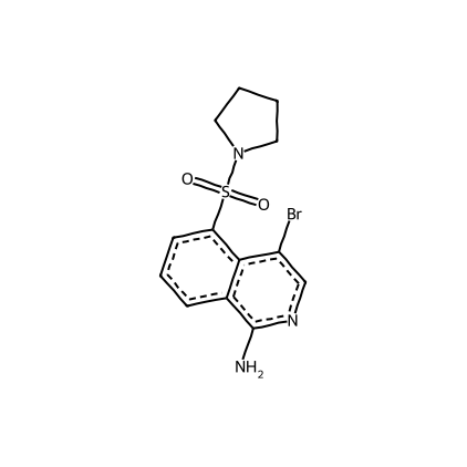 Nc1ncc(Br)c2c(S(=O)(=O)N3CCCC3)cccc12